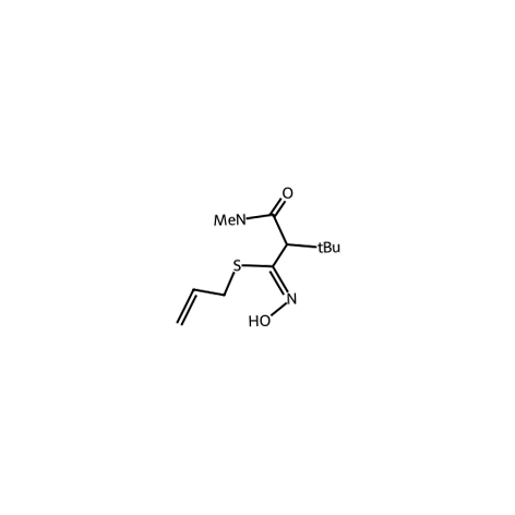 C=CCSC(=NO)C(C(=O)NC)C(C)(C)C